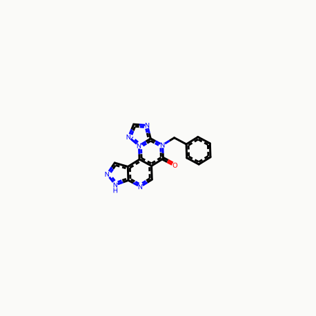 O=c1c2cnc3[nH]ncc3c2n2ncnc2n1Cc1ccccc1